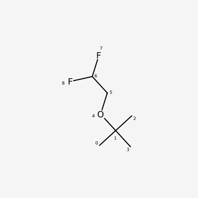 CC(C)(C)OCC(F)F